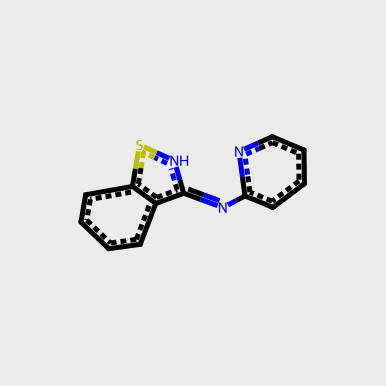 c1ccc(N=c2[nH]sc3ccccc23)nc1